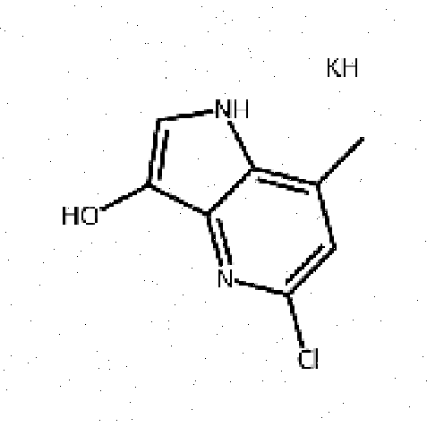 Cc1cc(Cl)nc2c(O)c[nH]c12.[KH]